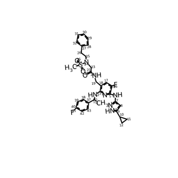 C[C@H](Nc1nc(Nc2cc(C3CC3)[nH]n2)c(F)cc1CNC(=O)CN(CCc1ccccc1)S(C)(=O)=O)c1ccc(F)cc1